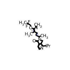 C=N/C(OCC(C)(F)F)=C(C)\C=C\C(C)N1Cc2c(ccnc2C(C)C)C1=O